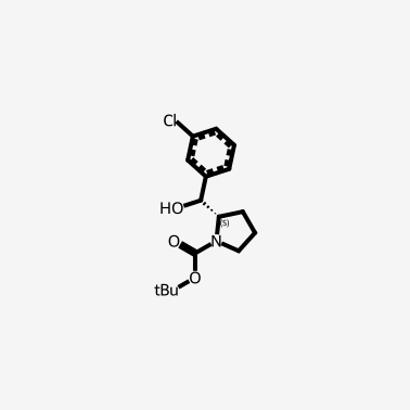 CC(C)(C)OC(=O)N1CCC[C@H]1C(O)c1cccc(Cl)c1